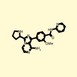 COc1cc(-c2nc(C3CCCN3)n3ccnc(N)c23)ccc1C(=O)Nc1ccccn1